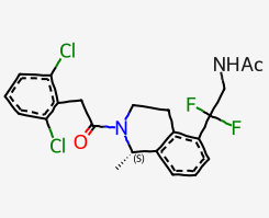 CC(=O)NCC(F)(F)c1cccc2c1CCN(C(=O)Cc1c(Cl)cccc1Cl)[C@H]2C